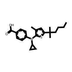 CCCCC(C)(C)c1cc(C)c(N(c2ccc(C(=O)O)cc2)C2CC2)s1